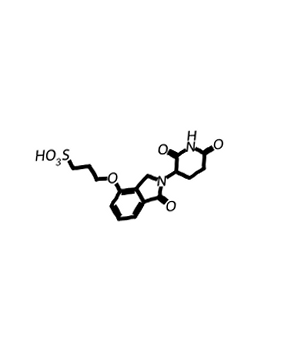 O=C1CCC(N2Cc3c(OCCCS(=O)(=O)O)cccc3C2=O)C(=O)N1